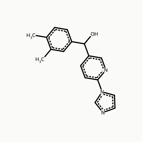 Cc1ccc(C(O)c2ccc(-n3ccnc3)nc2)cc1C